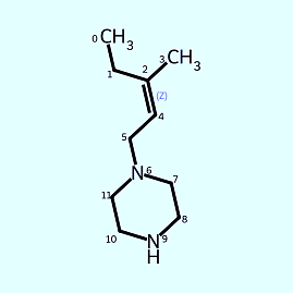 CC/C(C)=C\CN1CCNCC1